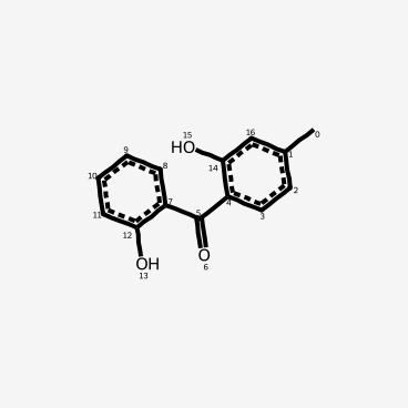 Cc1ccc(C(=O)c2ccccc2O)c(O)c1